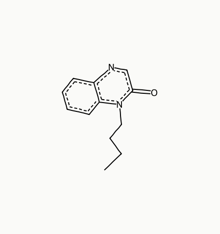 CCCCn1c(=O)cnc2ccccc21